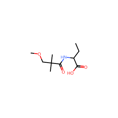 CCC(NC(=O)C(C)(C)COC)C(=O)O